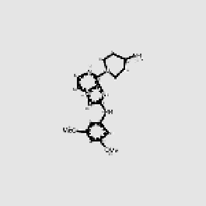 COc1cc(Nc2nc3c(N4CCC(N)CC4)nccn3n2)cc(OC)c1